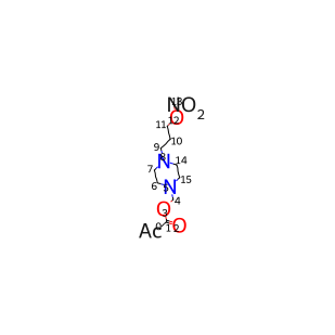 CC(=O)C(=O)OCN1CCN(CCCO[N+](=O)[O-])CC1